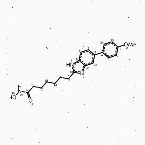 COc1ccc(-c2ccc3[nH]c(CCCCCCC(=O)NO)nc3c2)cc1